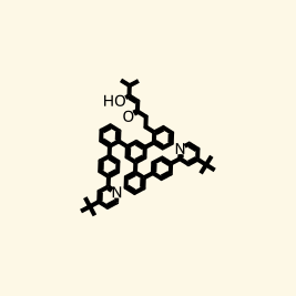 CC(C)/C(O)=C/C(=O)CCc1ccccc1-c1cc(-c2ccccc2-c2ccc(-c3cc(C(C)(C)C)ccn3)cc2)cc(-c2ccccc2-c2ccc(-c3cc(C(C)(C)C)ccn3)cc2)c1